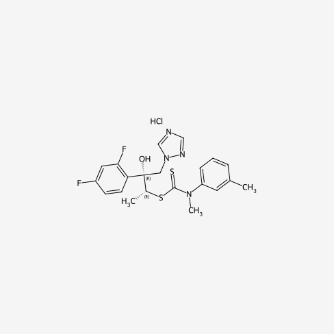 Cc1cccc(N(C)C(=S)S[C@H](C)[C@](O)(Cn2cncn2)c2ccc(F)cc2F)c1.Cl